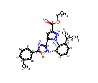 CCOC(=O)c1cc(-c2noc(-c3cccc(C)c3)n2)n(-c2ccccc2C(C)C)n1